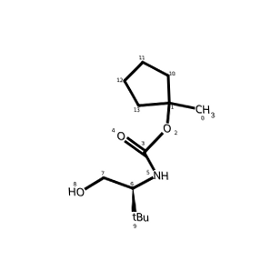 CC1(OC(=O)N[C@H](CO)C(C)(C)C)CCCC1